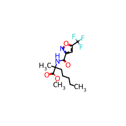 CCCCCC(C)(NC(=O)c1cc(C(F)(F)F)on1)C(=O)OC